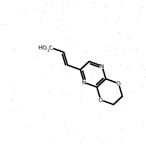 O=C(O)/C=C/c1cnc2c(n1)OCCO2